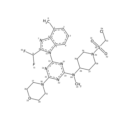 Cc1cccc2c1nc(C(F)F)n2-c1nc(N2CCOCC2)nc(N(C)C2CCN(S(=O)(=O)CCl)CC2)n1